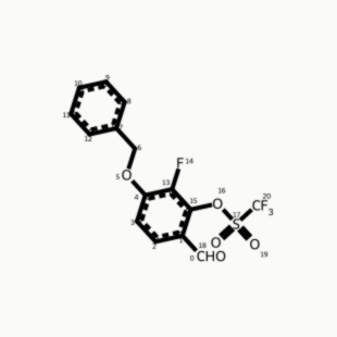 O=Cc1ccc(OCc2ccccc2)c(F)c1OS(=O)(=O)C(F)(F)F